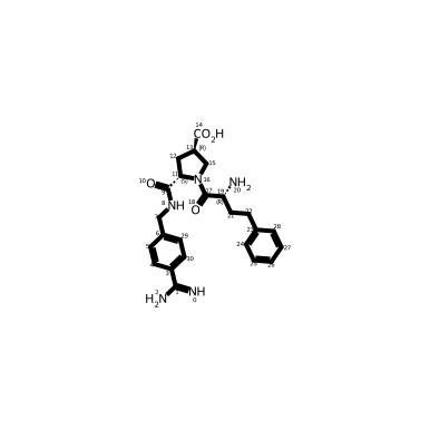 N=C(N)c1ccc(CNC(=O)[C@@H]2C[C@@H](C(=O)O)CN2C(=O)[C@H](N)CCc2ccccc2)cc1